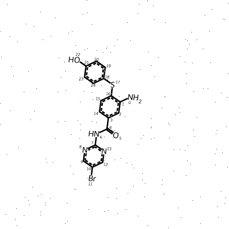 Nc1cc(C(=O)Nc2ncc(Br)cn2)ccc1Sc1ccc(O)cc1